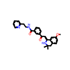 COc1ccc2c(c1)C(=CC(=O)c1cccc(C(=O)NCCc3ccccn3)c1)NC(C)(C)C2